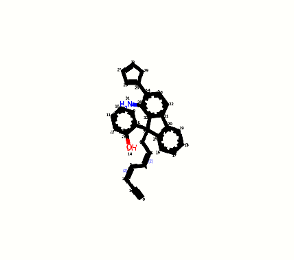 C#C/C=C\C=C/CC1(c2ccccc2O)c2ccccc2-c2ccc(C3=CC=CC3)c(N)c21